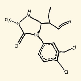 CC(C=S)C1NN(C(Cl)(Cl)Cl)C(=O)N1c1ccc(Cl)c(Cl)c1